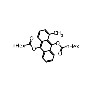 CCCCCCC(=O)Oc1c2ccccc2c(OC(=O)CCCCCC)c2c(C)cccc12